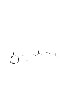 CCOC(=O)CCNCc1ccccc1C